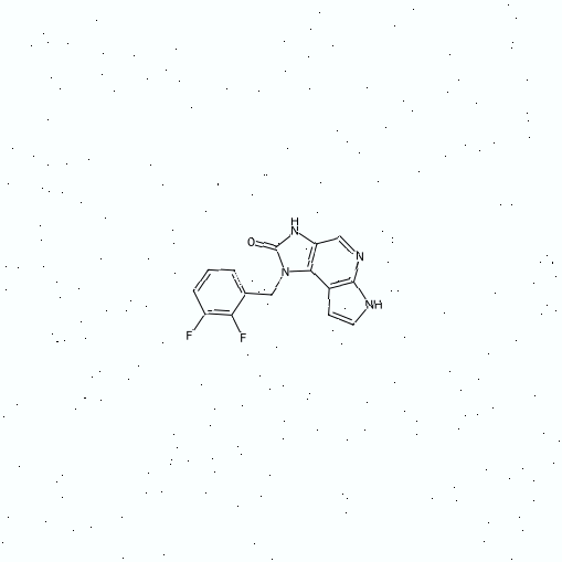 O=c1[nH]c2cnc3[nH]ccc3c2n1Cc1cccc(F)c1F